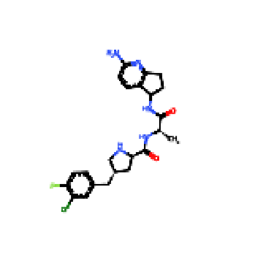 C[C@H](NC(=O)[C@H]1C[C@H](Cc2ccc(F)c(Cl)c2)CN1)C(=O)NC1CCc2nc(N)ccc21